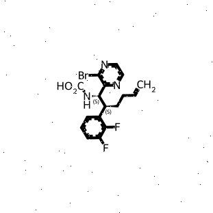 C=CCC[C@@H](c1cccc(F)c1F)[C@H](NC(=O)O)c1nccnc1Br